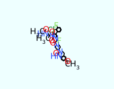 COc1ccc2c(c1)CCN(C1CCN(C(=O)C(F)n3cc(-c4cccc(F)c4Cl)c(=O)n(C(C)CNC(C)=O)c3=O)CC1)C(=O)N2